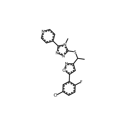 CC(Sc1nnc(-c2ccncc2)n1C)c1cc(-c2cc(Cl)ccc2F)on1